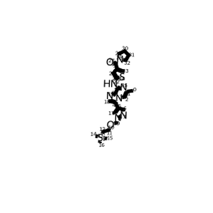 Cc1cn2c(-c3cnn(COCC[Si](C)(C)C)c3)cnc2c(Nc2cc(C(=O)N3CCCC3)cs2)n1